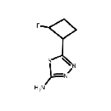 Nc1nnc(C2CCC2F)s1